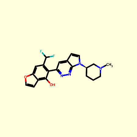 CN1CCC[C@@H](n2ccc3cc(-c4c(C(F)F)cc5occc5c4O)nnc32)C1